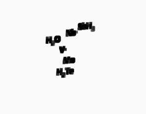 O.[Mo].[Nb].[SbH3].[TeH2].[V]